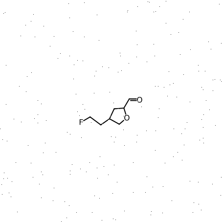 O=CC1CC(CCF)CO1